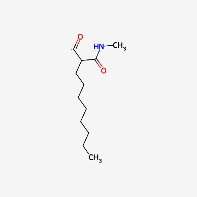 CCCCCCCCC([C]=O)C(=O)NC